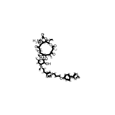 CC[C@H]1OC(=O)[C@H](C)C(=O)[C@@H](C)[C@@H](O[C@@H]2O[C@H](C)C[C@H](N(C)CCc3cn(CCCOc4ccc(-c5csnn5)cc4)nn3)[C@H]2O)[C@](C)(OC)C[C@@H](C)C(=O)[C@H](C)[C@H]2N(N)C(=O)O[C@]12C